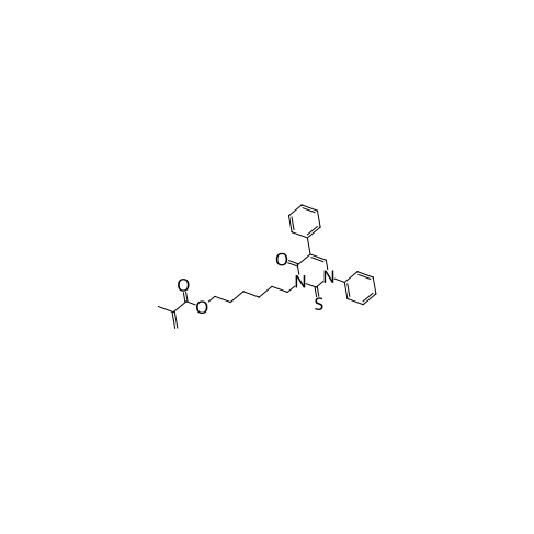 C=C(C)C(=O)OCCCCCCn1c(=O)c(-c2ccccc2)cn(-c2ccccc2)c1=S